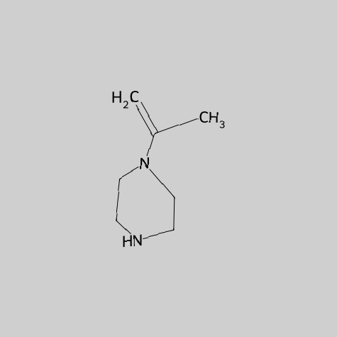 C=C(C)N1CCNCC1